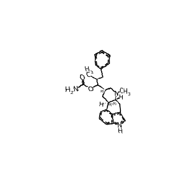 CC(Cc1ccccc1)C(OC(N)=O)[C@@H]1C[C@@H]2c3cccc4[nH]cc(c34)C[C@H]2N(C)C1